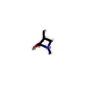 CC1CN(C)C1=O